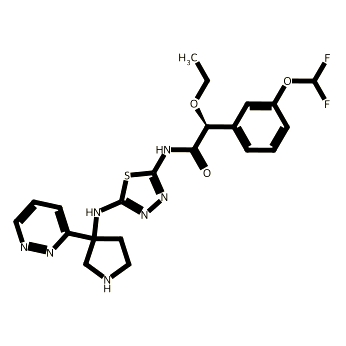 CCO[C@H](C(=O)Nc1nnc(NC2(c3cccnn3)CCNC2)s1)c1cccc(OC(F)F)c1